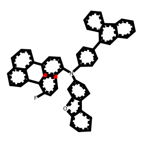 Fc1ccccc1-c1cccc2cccc(-c3ccc(N(c4ccc(-c5cc6ccccc6c6ccccc56)cc4)c4ccc5c(c4)oc4ccccc45)cc3)c12